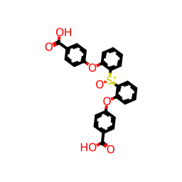 O=C(O)c1ccc(Oc2ccccc2[S+]([O-])c2ccccc2Oc2ccc(C(=O)O)cc2)cc1